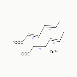 C/C=C/C=C/C(=O)[O-].C/C=C/C=C/C(=O)[O-].[Cu+2]